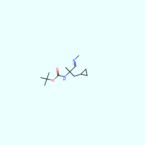 C/N=C/C(C)(CC1CC1)NC(=O)OC(C)(C)C